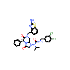 CC(C)N(C(=O)NCc1ccc(Cl)c(Cl)c1)N1CC(=O)N2C1CN(Cc1cccc3sc(N)nc13)C(=O)[C@@H]2c1ccccc1